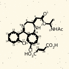 CC(=O)NC(C)OC(=O)C=C1CN=C(c2ccccc2Cl)c2cc(Cl)ccc2N1.O=C(O)C=CC(=O)O